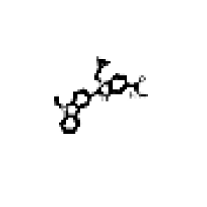 CCn1c2ccccc2c2cc(-c3nc4cc(C(=O)NC)ccc4n3CC3CC3)ccc21